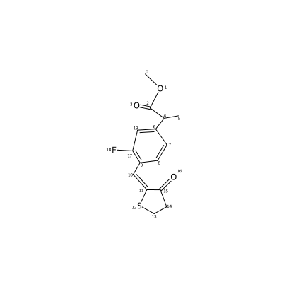 COC(=O)C(C)c1ccc(/C=C2/SCCC2=O)c(F)c1